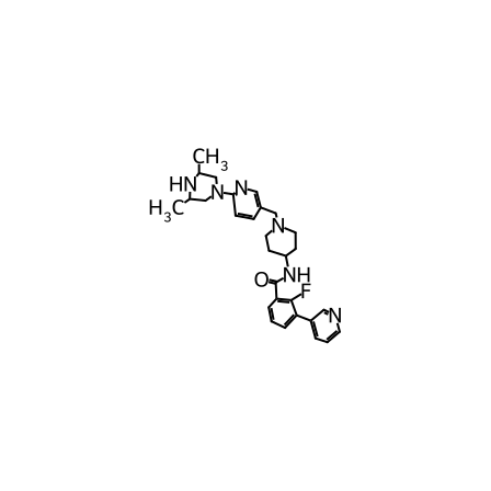 CC1CN(c2ccc(CN3CCC(NC(=O)c4cccc(-c5cccnc5)c4F)CC3)cn2)CC(C)N1